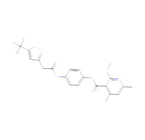 COc1nc(C)cc(C)c1C(=O)Nc1ccc(NC(=O)Cc2cc(C(C)(C)C)on2)cc1